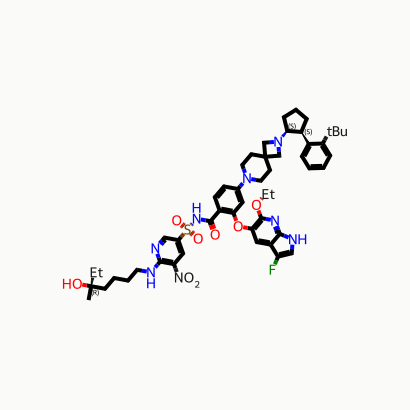 CCOc1nc2[nH]cc(F)c2cc1Oc1cc(N2CCC3(CC2)CN([C@H]2CCC[C@H]2c2ccccc2C(C)(C)C)C3)ccc1C(=O)NS(=O)(=O)c1cnc(NCCCC[C@](C)(O)CC)c([N+](=O)[O-])c1